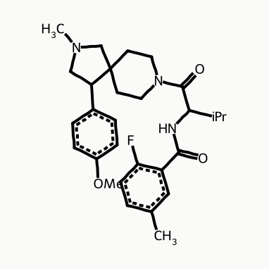 COc1ccc(C2CN(C)CC23CCN(C(=O)C(NC(=O)c2cc(C)ccc2F)C(C)C)CC3)cc1